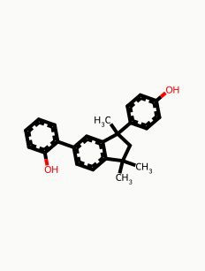 CC1(C)CC(C)(c2ccc(O)cc2)c2cc(-c3ccccc3O)ccc21